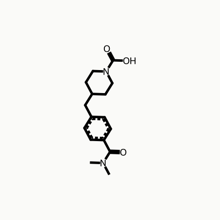 CN(C)C(=O)c1ccc(CC2CCN(C(=O)O)CC2)cc1